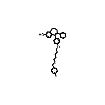 Cc1ccc(CSCCCCCOc2ccc(C3=C(c4ccccc4)CCCc4cc(O)ccc43)cc2)cc1